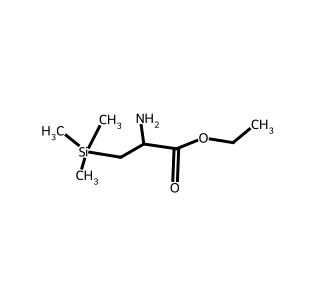 CCOC(=O)C(N)C[Si](C)(C)C